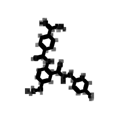 COc1ccc(NC(=O)c2ccc(C(=N)N)cc2)c(C(=O)NOc2ccc(Cl)cn2)c1